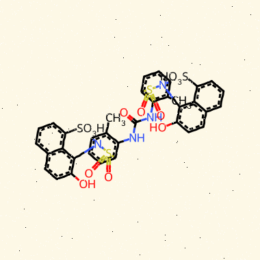 Cc1c2ccc(c1NC(=O)Nc1c3ccc(c1C)N(c1c(O)ccc4cccc(S(=O)(=O)O)c14)S3(=O)=O)S(=O)(=O)N2c1c(O)ccc2cccc(S(=O)(=O)O)c12